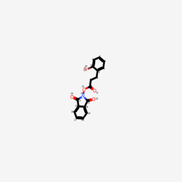 O=C(CCc1ccccc1Br)ON1C(=O)c2ccccc2C1=O